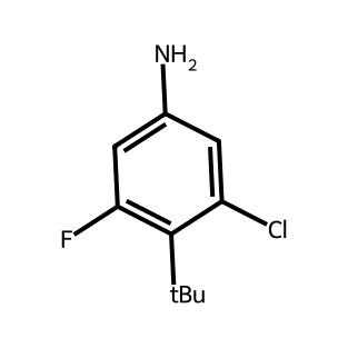 CC(C)(C)c1c(F)cc(N)cc1Cl